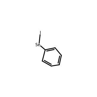 I[Se]c1ccccc1